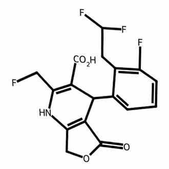 O=C(O)C1=C(CF)NC2=C(C(=O)OC2)C1c1cccc(F)c1CC(F)F